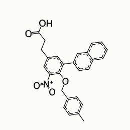 Cc1ccc(COc2c(-c3ccc4ccccc4c3)cc(CCC(=O)O)cc2[N+](=O)[O-])cc1